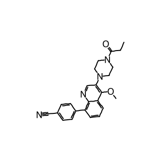 CCC(=O)N1CCN(c2cnc3c(-c4ccc(C#N)cc4)cccc3c2OC)CC1